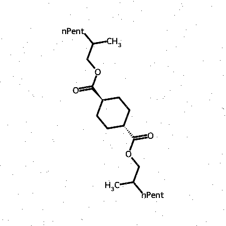 CCCCCC(C)COC(=O)[C@H]1CC[C@H](C(=O)OCC(C)CCCCC)CC1